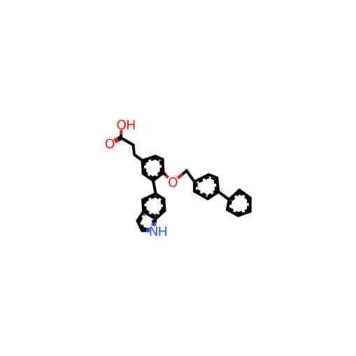 O=C(O)CCc1ccc(OCc2ccc(-c3ccccc3)cc2)c(-c2ccc3[nH]ccc3c2)c1